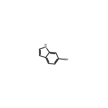 [NH]c1ccc2cc[nH]c2c1